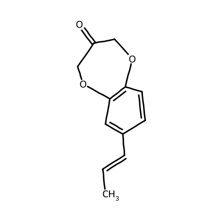 CC=Cc1ccc2c(c1)OCC(=O)CO2